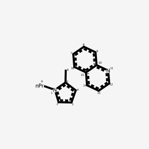 CCCn1cccc1C.c1ccc2ncccc2c1